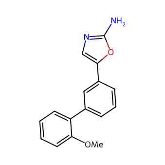 COc1ccccc1-c1cccc(-c2cnc(N)o2)c1